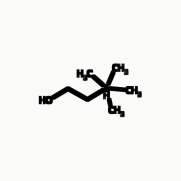 C[SH](C)(C)(C)CCO